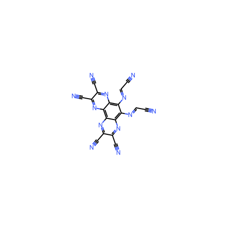 N#C/C=N/c1c(/N=C/C#N)c2nc(C#N)c(C#N)nc2c2nc(C#N)c(C#N)nc12